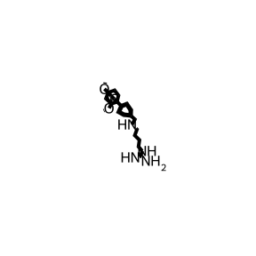 COC1CC2(OC)CCC1(c1ccc(CNCCCCNC(=N)N)cc1)CC2